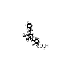 Cc1c(Cn2ccc(OCc3ccccc3)c(Br)c2=O)cccc1C(=O)O